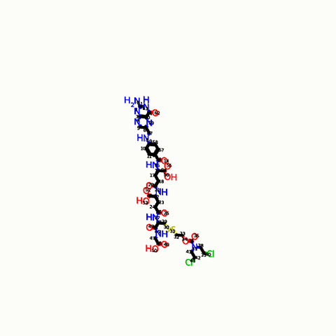 Nc1nc2ncc(CNc3ccc(C(=O)NC(CCC(=O)NC(CCC(=O)NC(CSSCCOC(=O)N(CCCl)CCCl)C(=O)NCC(=O)O)C(=O)O)C(=O)O)cc3)nc2c(=O)[nH]1